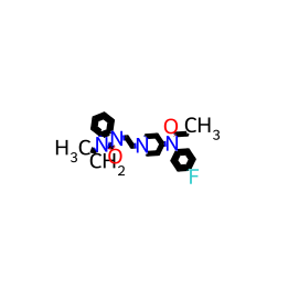 C=C(C)n1c(=O)n(CCN2CCC(N(C(=O)CC)c3ccc(F)cc3)CC2)c2ccccc21